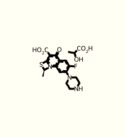 CC(O)C(=O)O.C[C@H]1Sc2c(C(=O)O)c(=O)c3cc(F)c(N4CCNCC4)cc3n21